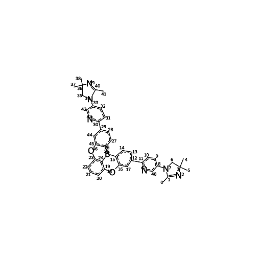 CC1=NC(C)(C)CN1c1ccc(-c2ccc3c(c2)Oc2cccc4c2B3c2ccc(-c3ccc(N5CC(C)(C)N=C5C)cn3)cc2O4)nc1